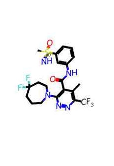 Cc1c(C(F)(F)F)nnc(N2CCCC(F)(F)CC2)c1C(=O)Nc1cccc([S@](C)(=N)=O)c1